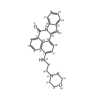 O=c1c2cccc3c(NCCN4CCOCC4)ccc(c32)c2nc3ccccc3n12